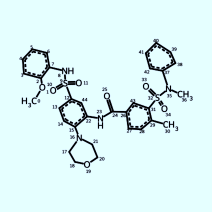 COc1ccccc1NS(=O)(=O)c1ccc(N2CCOCC2)c(NC(=O)c2ccc(C)c(S(=O)(=O)N(C)c3ccccc3)c2)c1